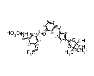 CC1(C)OB(c2cnn(Cc3cccc(OCc4cc(CNC(=O)O)cc(OC(F)(F)F)c4)c3)c2)OC1(C)C